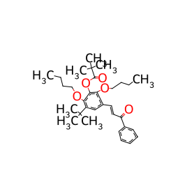 CCCCOc1c(C=CC(=O)c2ccccc2)cc(C(C)(C)C)c(OCCCC)c1OC(=O)C(C)(C)C